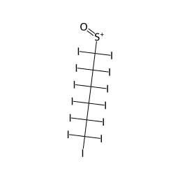 O=[S+]C(I)(I)C(I)(I)C(I)(I)C(I)(I)C(I)(I)C(I)(I)I